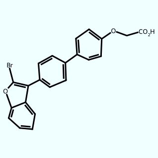 O=C(O)COc1ccc(-c2ccc(-c3c(Br)oc4ccccc34)cc2)cc1